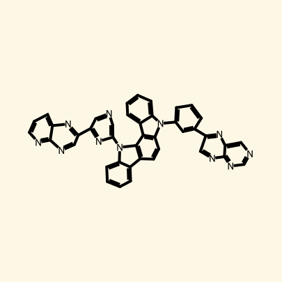 c1cc(-c2cnc3ncncc3n2)cc(-n2c3ccccc3c3c2ccc2c4ccccc4n(-c4cncc(-c5cnc6ncccc6n5)n4)c23)c1